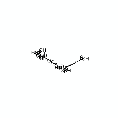 O=CN[C@@H](CC(=O)O)C(=O)N[C@@H](CCC(=O)NCCCOCCOCCOCCCNC(=O)C[C@H](NC(=O)CCCCCCCCCCCCCCC(=O)O)C(=O)O)C(=O)O